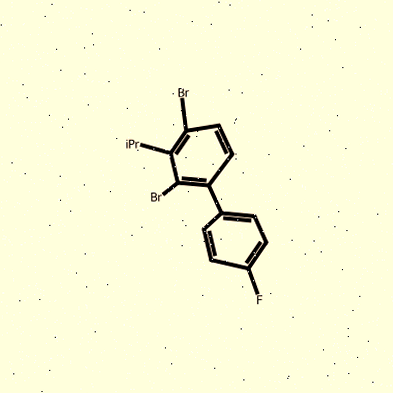 CC(C)c1c(Br)c[c]c(-c2ccc(F)cc2)c1Br